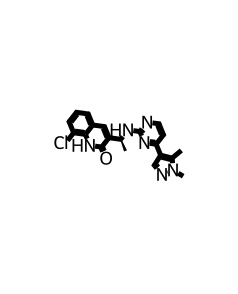 Cc1c(-c2ccnc(N[C@@H](C)c3cc4cccc(Cl)c4[nH]c3=O)n2)cnn1C